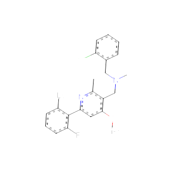 CCc1cccc(CC)c1-c1cc(OC(C)C)c(CN(C)Cc2ccccc2Cl)c(C)n1